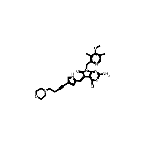 COc1c(C)cnc(CN2C(=O)/C(=C\c3cc(C#CCCN4CCOCC4)c[nH]3)c3c(Cl)nc(N)nc32)c1C